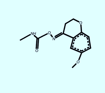 CNC(=O)ON=C1CCOc2ccc(OC)cc21